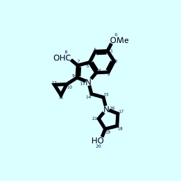 COc1ccc2c(c1)c(C=O)c(C1CC1)n2CCN1CCC(O)C1